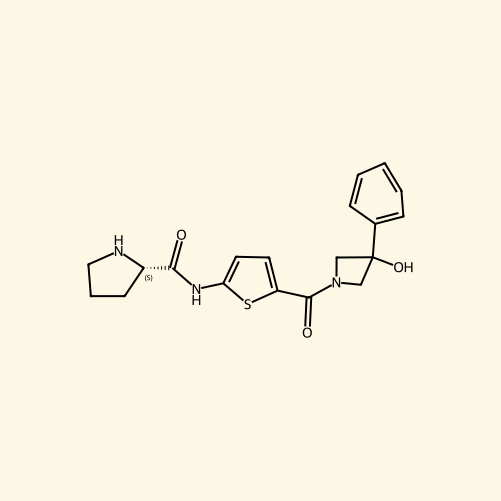 O=C(Nc1ccc(C(=O)N2CC(O)(c3ccccc3)C2)s1)[C@@H]1CCCN1